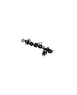 CCC(C)n1ncn(-c2ccc(N3CCN(c4ccc(OC[C@H]5CO[C@](Cn6cncn6)(c6ccc(F)cc6F)O5)cc4)CC3)cc2)c1=O.Cl